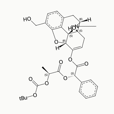 C[C@H](OC(=O)OC(C)(C)C)C(=O)O[C@H](C(=O)OC1=CC[C@@]2(O)[C@H]3Cc4ccc(CO)c5c4[C@@]2(CCN3C)[C@H]1O5)c1ccccc1